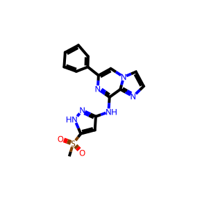 CS(=O)(=O)c1cc(Nc2nc(-c3ccccc3)cn3ccnc23)n[nH]1